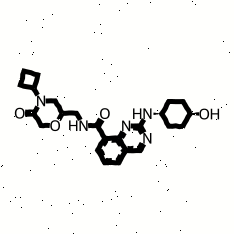 O=C(NCC1CN(C2CCC2)C(=O)CO1)c1cccc2cnc(N[C@H]3CC[C@H](O)CC3)nc12